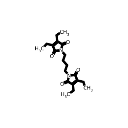 CCC1=C(CC)C(=O)N(CCCCN2C(=O)C(CC)=C(CC)C2=O)C1=O